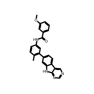 COc1cccc(C(=O)Nc2ccc(C)c(-c3ccc4c(c3)[nH]c3ncncc34)c2)c1